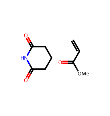 C=CC(=O)OC.O=C1CCCC(=O)N1